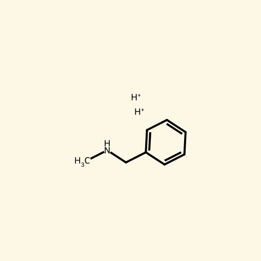 CNCc1ccccc1.[H+].[H+]